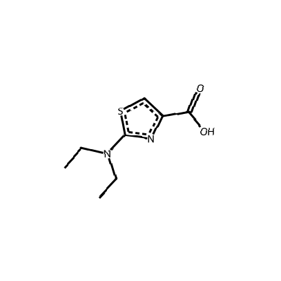 CCN(CC)c1nc(C(=O)O)cs1